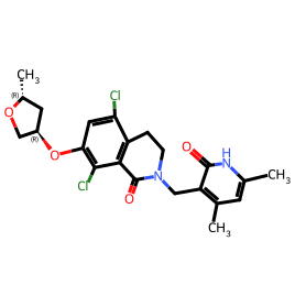 Cc1cc(C)c(CN2CCc3c(Cl)cc(O[C@H]4CO[C@H](C)C4)c(Cl)c3C2=O)c(=O)[nH]1